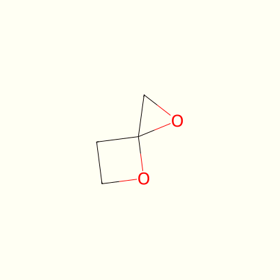 C1CC2(CO2)O1